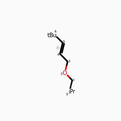 CC(C)COC/C=C/C(C)(C)C